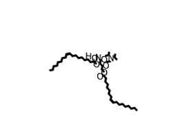 CCCCCCCC/C=C\CCCCCCCC(=O)OCC(OCCN(C(C)C)C(C)C)C(OC(=O)CCCCCCC/C=C\CCCCCCCC)C(N)=O